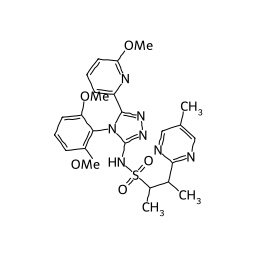 COc1cccc(-c2nnc(NS(=O)(=O)C(C)C(C)c3ncc(C)cn3)n2-c2c(OC)cccc2OC)n1